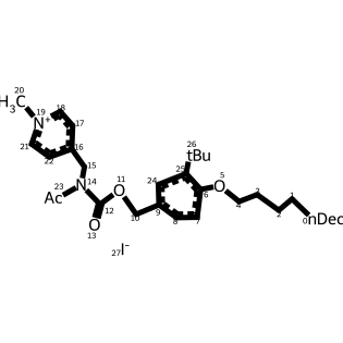 CCCCCCCCCCCCCCOc1ccc(COC(=O)N(Cc2cc[n+](C)cc2)C(C)=O)cc1C(C)(C)C.[I-]